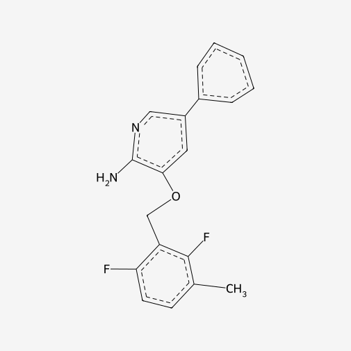 Cc1ccc(F)c(COc2cc(-c3ccccc3)cnc2N)c1F